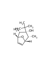 C[C@@H]1[C@@H]2C=C[C@@H](O2)[C@H](C)[C@@]1(O)C(C)(C)C